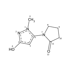 Cn1nc(O)cc1N1CCCC1=O